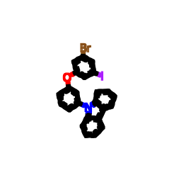 Brc1cc(I)cc(Oc2cccc(-n3c4ccccc4c4ccccc43)c2)c1